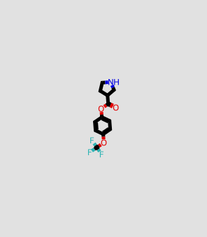 O=C(Oc1ccc(OC(F)(F)F)cc1)C1CCNC1